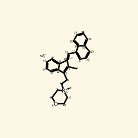 CC1=C(CC[N+]2(C)CCOCC2)c2ccccc2/C1=C/c1cccc2ccccc12.[I-]